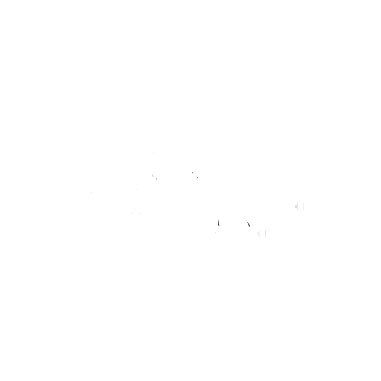 CCC(=O)n1c(=O)ccn([C@@H]2O[C@H](CO)[C@@H](O)[C@]2(C)F)c1=O